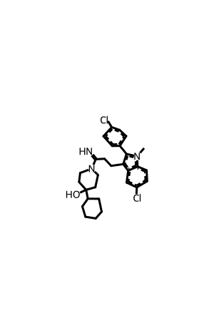 Cn1c(-c2ccc(Cl)cc2)c(CCC(=N)N2CCC(O)(C3CCCCC3)CC2)c2cc(Cl)ccc21